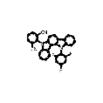 N#Cc1cccc(C#N)c1-n1c2ccccc2c2c1ccc1c3ccccc3n(-c3c(F)cc(F)cc3F)c12